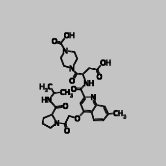 Cc1ccc2c(OCC(=O)N3CCCC3C(=O)NC(C)C)cc(C(=O)NC(CC(=O)O)C(=O)N3CCN(C(=O)O)CC3)nc2c1